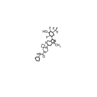 Cn1nc(-c2cc(C(F)(F)F)c(F)c(O)c2F)c2cnc(N3CCN(C(=O)Nc4ccccc4)CC34CCC4)cc21